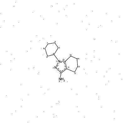 Nc1nn(C2CCCCC2)c2c1CCCC2